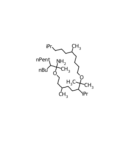 CCCCCC(CCCC)C(C)(N)OCCC(C)CCC(C(C)C)C(C)(C)OCCCCC(C)CCCC(C)C